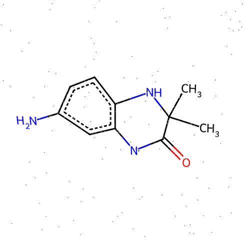 CC1(C)Nc2ccc(N)cc2[N]C1=O